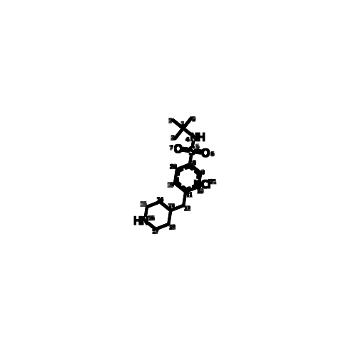 CC(C)(C)NS(=O)(=O)c1ccc(CC2CCNCC2)cc1.Cl